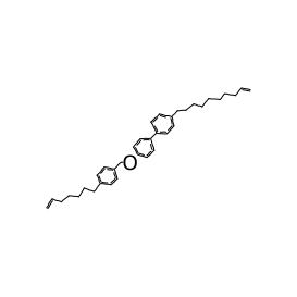 C=CCCCCCCCCc1ccc(-c2ccc(OCc3ccc(CCCCCC=C)cc3)cc2)cc1